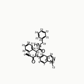 C#CC(=O)N(c1ccc2c(cnn2C)c1)C(C(=O)NCc1ccccc1)c1ccccc1